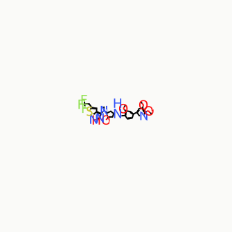 COc1cc(-c2cnc(OC)c(OC)c2)ccc1CNC1CC(O)C(N(C)c2ncnc3sc(CC(F)(F)F)cc23)C1